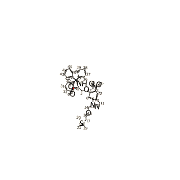 COC(=O)[C@H](COc1cc2c(cnn2COCC[Si](C)(C)C)cc1[N+](=O)[O-])NC(c1ccccc1)(c1ccccc1)c1ccccc1